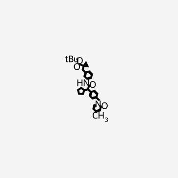 Cc1ccn(Cc2ccc(C(C(=O)Nc3cccc(CC4(C(=O)OC(C)(C)C)CC4)c3)C3CCCC3)cc2)c(=O)c1